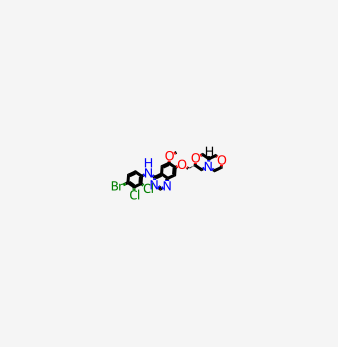 COc1cc2c(Nc3ccc(Br)c(Cl)c3Cl)ncnc2cc1OC[C@H]1CN2CCOC[C@H]2CO1